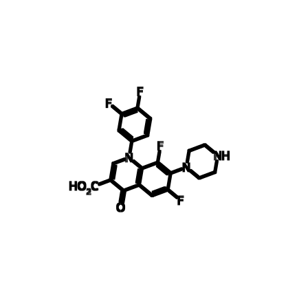 O=C(O)c1cn(-c2ccc(F)c(F)c2)c2c(F)c(N3CCNCC3)c(F)cc2c1=O